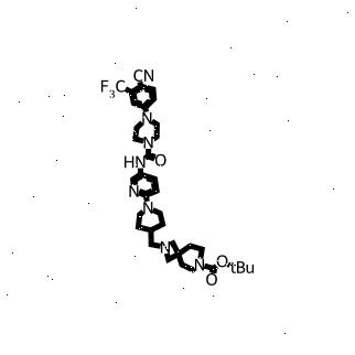 CC(C)(C)OC(=O)N1CCC2(CC1)CN(CC1CCN(c3ccc(NC(=O)N4CCN(c5ccc(C#N)c(C(F)(F)F)c5)CC4)cn3)CC1)C2